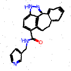 O=C(NCc1cccnc1)c1ccc2[nH]nc3c2c1CCc1ccccc1-3